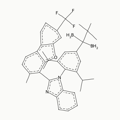 BC(B)(c1cc(C(C)C)c(-n2c(-c3c(C)ccc4c3oc3cc(C(F)(F)F)ccc34)nc3ccccc32)c(C(C)C)c1)C(C)(C)C